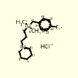 C[Si](C)(CCCN1CCCCC1)Cc1ccc(F)cc1.Cl